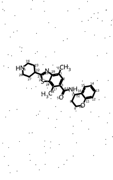 Cc1cc(C(=O)N[C@H]2CCOc3ccccc32)c(C)c2sc(C3CCNCC3)nc12